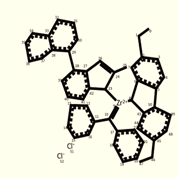 CCc1ccc2c(c1)[CH]([Zr+2](=[C](c1ccccc1)c1ccccc1)[CH]1C(C)=Cc3c(-c4cccc5ccccc45)cccc31)c1cc(CC)ccc1-2.[Cl-].[Cl-]